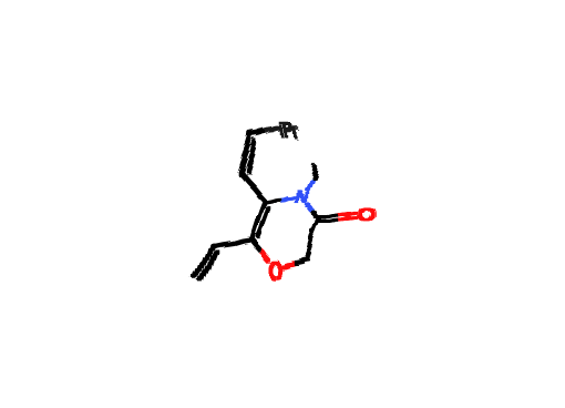 C=CC1=C(/C=C\C(C)C)N(C)C(=O)CO1